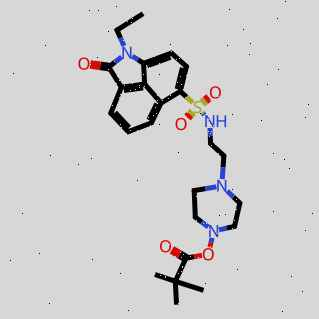 CCN1C(=O)c2cccc3c(S(=O)(=O)NCCN4CCN(OC(=O)C(C)(C)C)CC4)ccc1c23